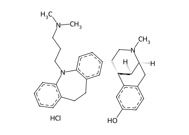 CN(C)CCCN1c2ccccc2CCc2ccccc21.CN1CC[C@@]23CCCC[C@@H]2[C@@H]1Cc1ccc(O)cc13.Cl